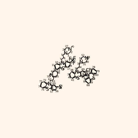 CN1CCN(CCCN2c3ccccc3Sc3ccc(C(F)(F)F)cc32)CC1.CN1CCN(CCCN2c3ccccc3Sc3ccc(Cl)cc32)CC1.CSc1ccc2c(c1)N(CCC1CCCCN1C)c1ccccc1S2.c1ccc2c(c1)Nc1ccccc1S2